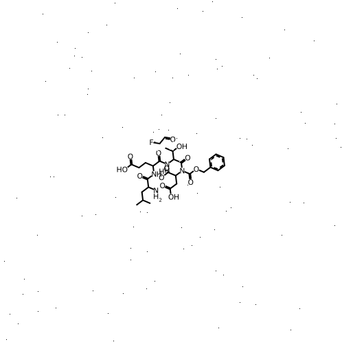 CC(C)CC(N)C(=O)NC(CCC(=O)O)C(=O)NC(C(=O)N(C(=O)OCc1ccccc1)C(CC(=O)O)C(=O)O)C(C)O.O=CCF